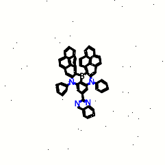 c1ccc(N2c3cc(-c4ncc5ccccc5n4)cc4c3B(c3c2cc2ccc5cccc6ccc3c2c56)c2c(cc3ccc5cccc6ccc2c3c56)N4c2ccccc2)cc1